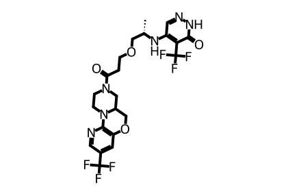 C[C@@H](COCCC(=O)N1CCN2c3ncc(C(F)(F)F)cc3OCC2C1)Nc1cn[nH]c(=O)c1C(F)(F)F